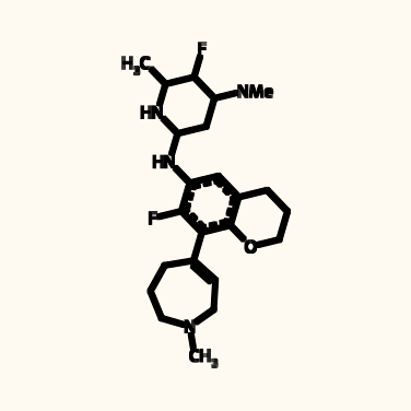 CNC1CC(Nc2cc3c(c(C4=CCN(C)CCC4)c2F)OCCC3)NC(C)C1F